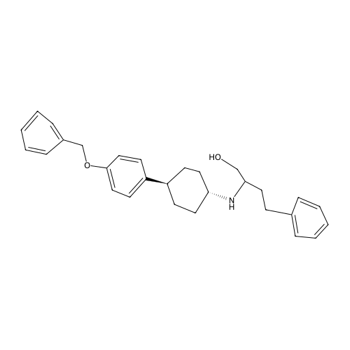 OCC(CCc1ccccc1)N[C@H]1CC[C@H](c2ccc(OCc3ccccc3)cc2)CC1